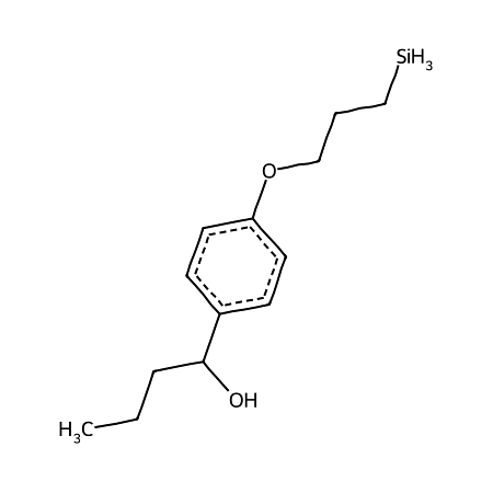 CCCC(O)c1ccc(OCCC[SiH3])cc1